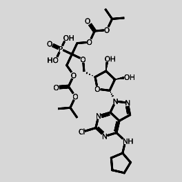 CC(C)OC(=O)OCC(COC(=O)OC(C)C)(OC[C@H]1O[C@@H](n2ncc3c(NC4CCCC4)nc(Cl)nc32)[C@H](O)[C@@H]1O)P(=O)(O)O